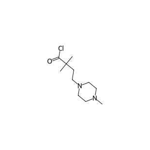 CN1CCN(CCC(C)(C)C(=O)Cl)CC1